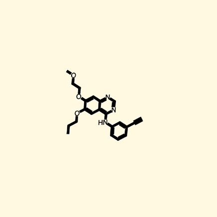 C#Cc1cccc(Nc2ncnc3cc(OCCOC)c(OCCC)cc23)c1